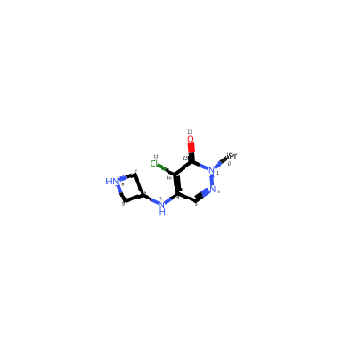 CC(C)n1ncc(NC2CNC2)c(Cl)c1=O